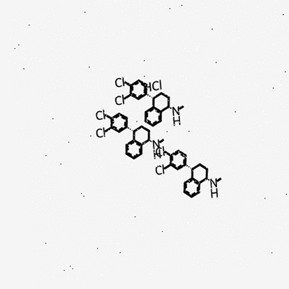 CN[C@H]1CC[C@@H](c2ccc(Cl)c(Cl)c2)c2ccccc21.CN[C@H]1CC[C@@H](c2ccc(Cl)c(Cl)c2)c2ccccc21.CN[C@H]1CC[C@@H](c2ccc(Cl)c(Cl)c2)c2ccccc21.Cl